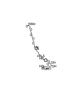 CNC(=O)CCOCCOCCOCCOCCn1cc(CCCCNC(=S)Nc2ccc(O[C@H]3O[C@H](CCP(=O)(O)O)[C@@H](O)[C@H](O)[C@@H]3O)cc2)nn1